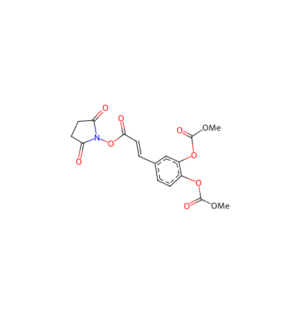 COC(=O)Oc1ccc(/C=C/C(=O)ON2C(=O)CCC2=O)cc1OC(=O)OC